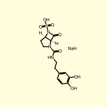 O=C(NCCc1ccc(O)c(O)c1)N1CC[C@@H]2[C@H]1C(=O)N2S(=O)(=O)O.[NaH]